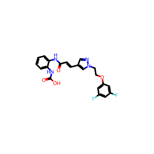 O=C(O)Nc1ccccc1NC(=O)C=Cc1cnn(CCOc2cc(F)cc(F)c2)c1